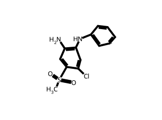 CS(=O)(=O)c1cc(N)c(Nc2c[c]ccc2)cc1Cl